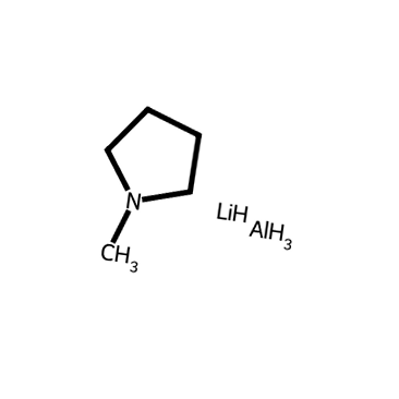 CN1CCCC1.[AlH3].[LiH]